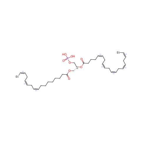 CC/C=C\C/C=C\C/C=C\C/C=C\C/C=C\CCCC(=O)O[C@H](COC(=O)CCCCCCC/C=C\C/C=C\C/C=C\CC)COP(=O)(O)O